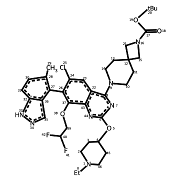 CCN1CCC(Oc2nc(N3CCC4(CC3)CN(C(=O)OC(C)(C)C)C4)c3cc(Cl)c(-c4c(C)ccc5[nH]ncc45)c(OCC(F)F)c3n2)CC1